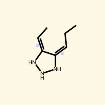 C/C=C1/NNN/C1=C/CC